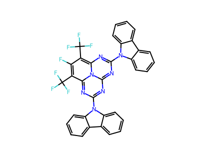 FC1=C(C(F)(F)F)C2=NC(n3c4ccccc4c4ccccc43)=NC3=NC(n4c5ccccc5c5ccccc54)=NC(=C1C(F)(F)F)N32